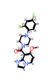 COc1ccn2ccnc2c1C(=O)N1CCN(c2ccc(F)cc2F)CC1